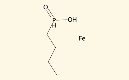 CCCC[PH](=O)O.[Fe]